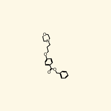 O=C(OCc1ccccc1)c1ccc(OCCCN2CCOCC2)cc1